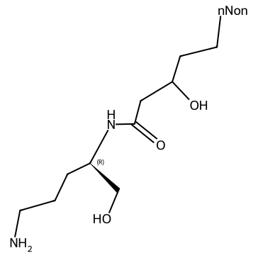 CCCCCCCCCCCC(O)CC(=O)N[C@@H](CO)CCCN